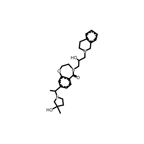 CC(c1ccc2c(c1)OCCN(CC(O)CN1CCc3ccccc3C1)C2=O)N1CCC(C)(O)C1